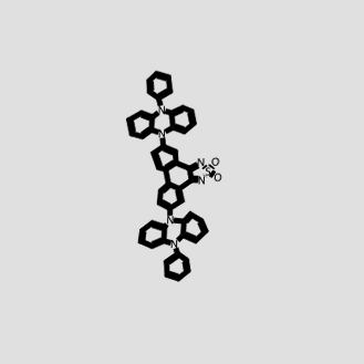 O=S1(=O)N=c2c(c3cc(N4c5ccccc5N(c5ccccc5)c5ccccc54)ccc3c3ccc(N4c5ccccc5N(c5ccccc5)c5ccccc54)cc23)=N1